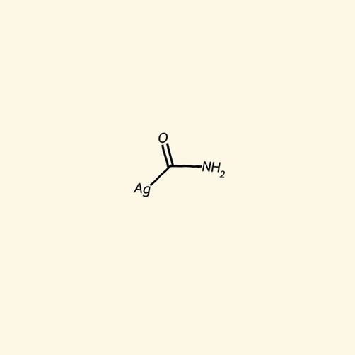 N[C](=O)[Ag]